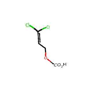 O=C(O)OCC=C(Cl)Cl